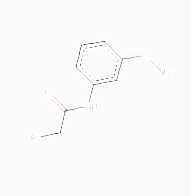 CC(=O)CC(=O)Nc1cccc(OC(C)C)c1